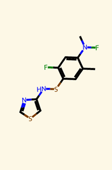 Cc1cc(SNc2cscn2)c(F)cc1N(C)F